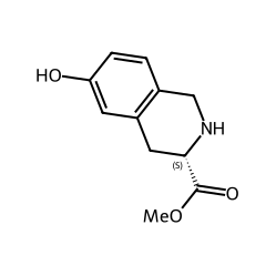 COC(=O)[C@@H]1Cc2cc(O)ccc2CN1